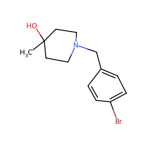 CC1(O)CCN(Cc2ccc(Br)cc2)CC1